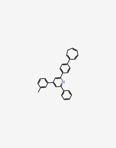 Cc1cccc(-c2cc(-c3ccccc3)nc(-c3ccc(C4=CCC=CC=C4)cc3)c2)c1